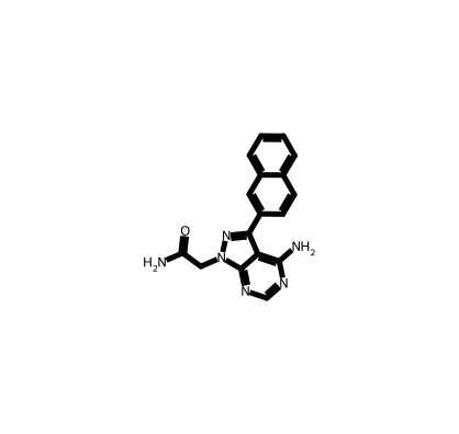 NC(=O)Cn1nc(-c2ccc3ccccc3c2)c2c(N)ncnc21